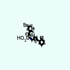 O=C(O)/C(=C/c1ccc(-c2ccccc2Cl)s1)NC(=O)c1cncc(Br)c1